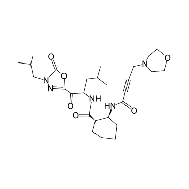 CC(C)CC(NC(=O)[C@@H]1CCCC[C@@H]1NC(=O)C#CCN1CCOCC1)C(=O)c1nn(CC(C)C)c(=O)o1